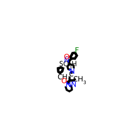 Cc1ccc(S(=O)(=O)O)cc1.Cc1nc2n(c(=O)c1CCN1CCC(c3noc4cc(F)ccc34)CC1)CCCC2